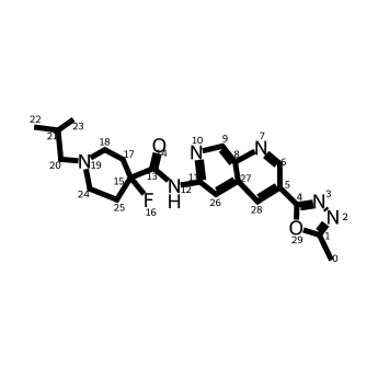 Cc1nnc(-c2cnc3cnc(NC(=O)C4(F)CCN(CC(C)C)CC4)cc3c2)o1